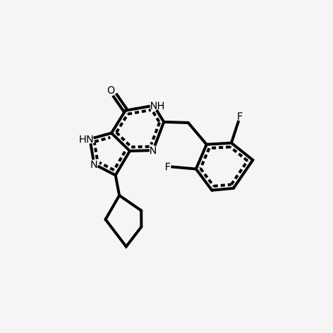 O=c1[nH]c(Cc2c(F)cccc2F)nc2c(C3CCCC3)n[nH]c12